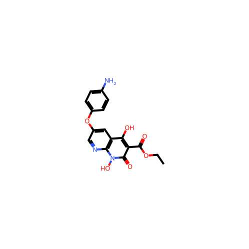 CCOC(=O)c1c(O)c2cc(Oc3ccc(N)cc3)cnc2n(O)c1=O